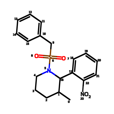 CC1CCCN(S(=O)(=O)Cc2ccccc2)C1c1ccccc1[N+](=O)[O-]